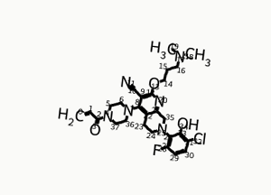 C=CC(=O)N1CCN(c2c(C#N)c(OCCCN(C)C)nc3c2CCN(c2c(F)ccc(Cl)c2O)C3)CC1